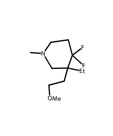 CCC1(CCOC)CN(C)CCC1(F)F